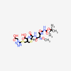 CO/N=C(/C(=O)N[C@@H]1C(=O)N2C(C(=O)O)=C(CSc3nnnn3CC(=O)O)CS[C@H]12)c1coc(NC(=O)OC(C)(C)C)n1